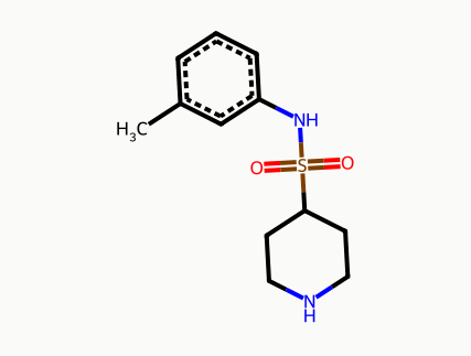 Cc1cccc(NS(=O)(=O)C2CCNCC2)c1